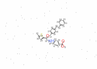 COC(=O)c1ccc(CNCC(OCc2ccc(CCc3ccccc3)cc2)c2ccc(C)s2)cc1